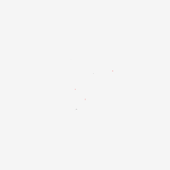 CCCCC(CO)(CO)CO.OP(O)(O)=[Se]